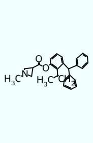 C=C(C)c1c(OC(=O)C2CN(C)C2)cccc1C(c1ccccc1)c1ccccc1